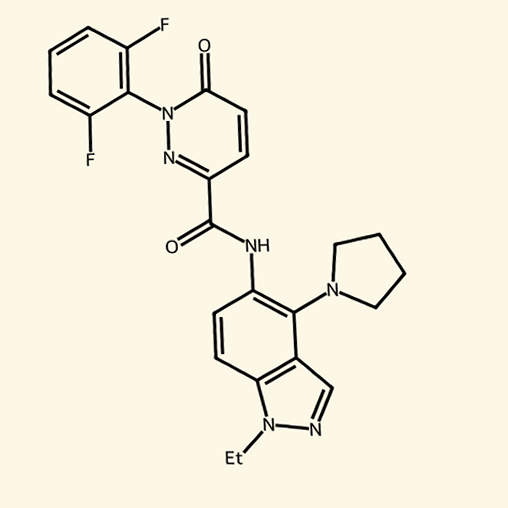 CCn1ncc2c(N3CCCC3)c(NC(=O)c3ccc(=O)n(-c4c(F)cccc4F)n3)ccc21